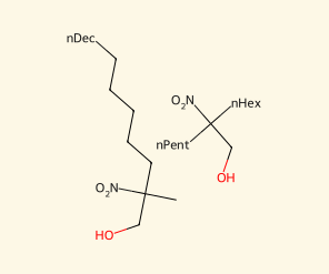 CCCCCCC(CO)(CCCCC)[N+](=O)[O-].CCCCCCCCCCCCCCCC(C)(CO)[N+](=O)[O-]